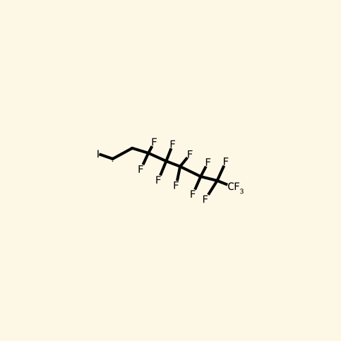 FC(F)(F)C(F)(F)C(F)(F)C(F)(F)C(F)(F)C(F)(F)C[CH]I